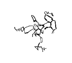 C#Cc1c(F)ccc2cc(O)cc(-c3cc4nc(OCC5(CN(C)C)CC5)nc(N5CCC6(CC5)CNC6)c4c(=O)n3CC3CC3)c12